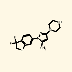 Cc1cc(N2CCNCC2)nn1-c1ccc2c(c1)OCC2(F)F